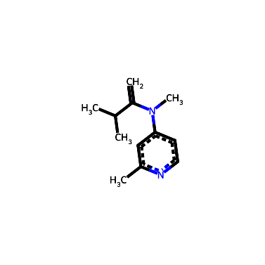 C=C(C(C)C)N(C)c1ccnc(C)c1